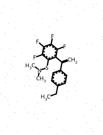 C=C(c1ccc(CC)cc1)c1c(F)c(F)c(F)c(F)c1SN(C)C